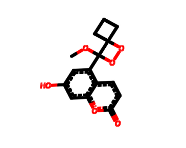 COC1(c2cc(O)cc3oc(=O)ccc23)OOC12CCC2